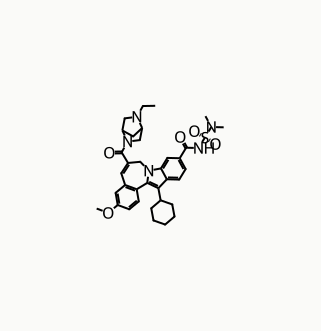 CCN1CC2CC1CN2C(=O)C1=Cc2cc(OC)ccc2-c2c(C3CCCCC3)c3ccc(C(=O)NS(=O)(=O)N(C)C)cc3n2C1